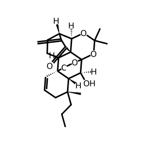 C=C1C(=O)[C@@]23[C@@H]4OC(C)(C)OC25OC[C@]2(C=CC[C@@](C)(CCC)[C@H]2[C@@H]5O)[C@@H]3CC[C@@H]14